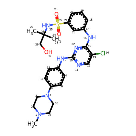 CN1CCN(c2ccc(Nc3ncc(Cl)c(Nc4cccc(S(=O)(=O)NC(C)(C)CO)c4)n3)cc2)CC1